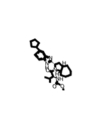 COC(=O)N[C@H](C(=O)N1[C@H](c2nc3cc(C4CCCC4)ccc3[nH]2)C[C@@H]2CCCCC[C@@H]21)C(C)C